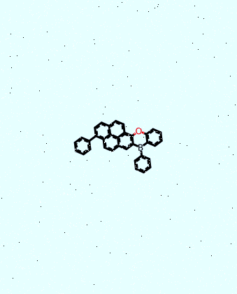 c1ccc(B2c3ccccc3Oc3c2cc2ccc4c(-c5ccccc5)ccc5ccc3c2c54)cc1